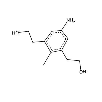 Cc1c(CCO)cc(N)cc1CCO